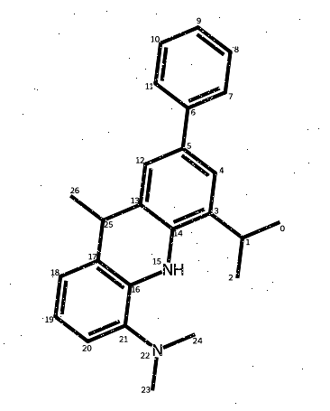 CC(C)c1cc(-c2ccccc2)cc2c1Nc1c(cccc1N(C)C)C2C